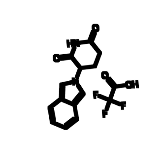 O=C(O)C(F)(F)F.O=C1CCC(n2cc3ccccc3c2)C(=O)N1